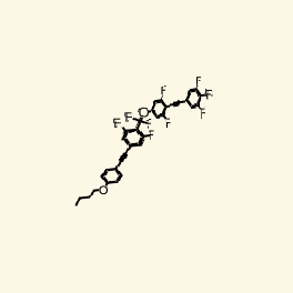 CCCCOc1ccc(C#Cc2cc(F)c(C(F)(F)Oc3cc(F)c(C#Cc4cc(F)c(F)c(F)c4)c(F)c3)c(F)c2)cc1